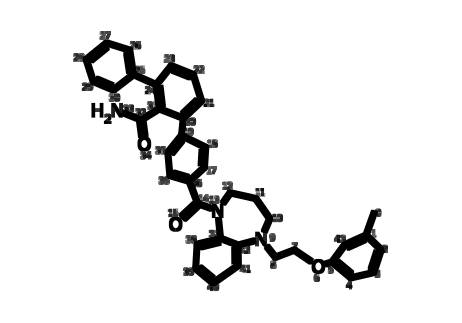 Cc1cccc(OCCN2CCCN(C(=O)c3ccc(-c4cccc(-c5ccccc5)c4C(N)=O)cc3)c3ccccc32)c1